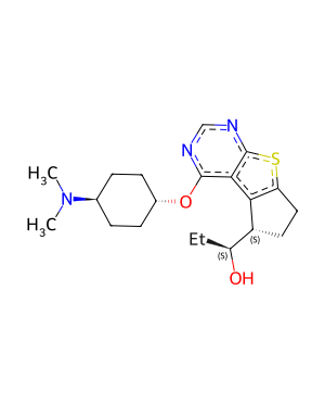 CC[C@H](O)[C@H]1CCc2sc3ncnc(O[C@H]4CC[C@H](N(C)C)CC4)c3c21